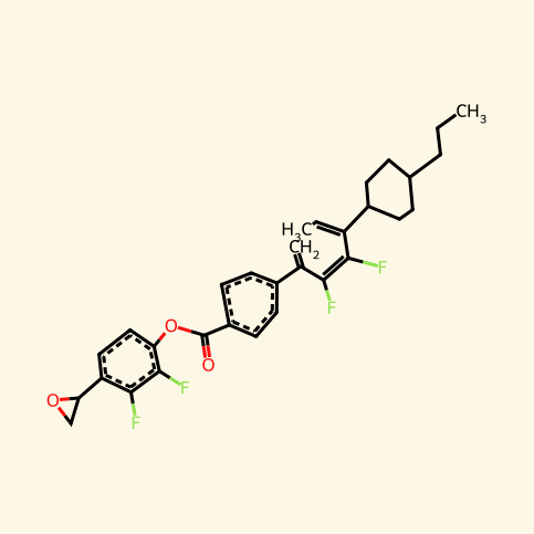 C=C(/C(F)=C(F)\C(=C/C)C1CCC(CCC)CC1)c1ccc(C(=O)Oc2ccc(C3CO3)c(F)c2F)cc1